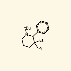 CCC1(C(C)C)CCCN(C(C)(C)C)C1c1ccccc1